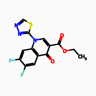 CCOC(=O)c1cn(-c2nncs2)c2cc(F)c(F)cc2c1=O